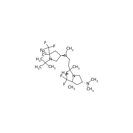 CN(C)[C@H]1CN(C(C)(C)CCN(C)[C@H]2CN(C(C)(C)C)C(C)(C(F)(F)F)C2)[C@](C)(C(F)(F)F)C1